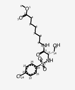 COC(=O)CCCCCCNC(=O)[C@H](CO)NS(=O)(=O)c1ccc(Cl)cc1